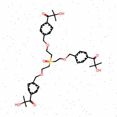 CC(C)(O)C(=O)c1ccc(COCCP(=O)(CCOCc2ccc(C(=O)C(C)(C)O)cc2)CCOCc2ccc(C(=O)C(C)(C)O)cc2)cc1